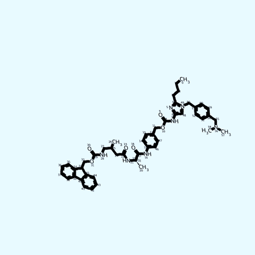 CCCCc1nc(NC(=O)OCc2ccc(NC(=O)[C@H](C)NC(=O)CC(C)CNC(=O)OCC3c4ccccc4-c4ccccc43)cc2)cn1Cc1ccc(CN(C)C)cc1